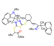 CCCC/N=C(\C=C\C1=C(Sc2nnc(SC(CCCC)C(=O)OC)s2)C(=C/C=C2/N(CCCC)c3ccc4ccccc4c3C2(C)C)/CCC1)C(C)(C)c1cccc2ccccc12